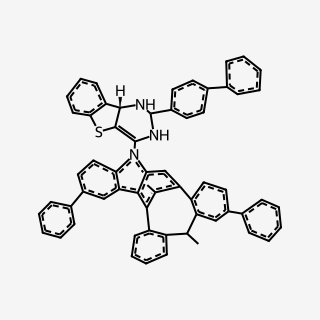 Cc1c2cc3c(c1-c1ccccc1C(C)c1cc(-c4ccccc4)ccc1-2)c1cc(-c2ccccc2)ccc1n3C1=C2Sc3ccccc3[C@@H]2NC(c2ccc(-c3ccccc3)cc2)N1